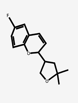 CC1(C)CC(C2C=Cc3cc(F)ccc3O2)CO1